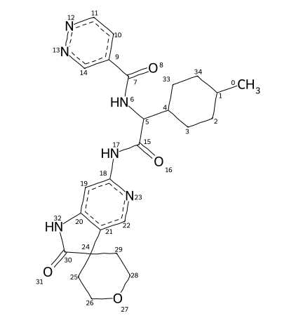 CC1CCC(C(NC(=O)c2ccnnc2)C(=O)Nc2cc3c(cn2)C2(CCOCC2)C(=O)N3)CC1